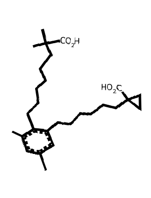 Cc1cc(C)c(CCCCCCC(C)(C)C(=O)O)c(CCCCCCC2(C(=O)O)CC2)c1